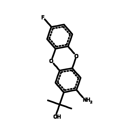 CC(C)(O)c1cc2c(cc1N)Oc1ccc(F)cc1O2